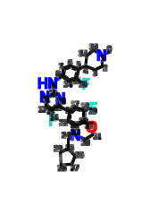 CN1CCC(c2ccc(Nc3ncc(F)c(-c4cc(F)c5c(c4)N(CC4CCCC4)CCO5)n3)cc2F)CC1